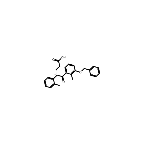 Cc1ccccc1[C@H](CCC(=O)O)C(=O)c1cccc(OCc2ccccc2)c1C